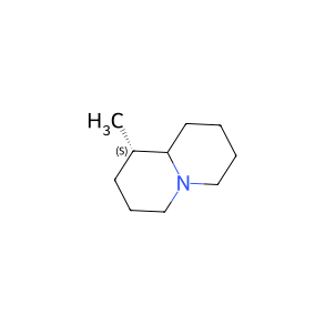 C[C@H]1CCCN2CCCCC12